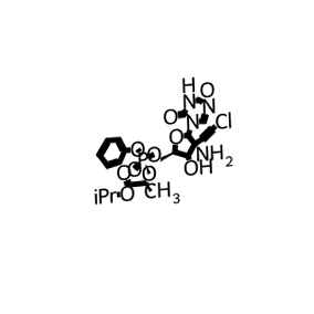 CC(C)OC(=O)[C@H](C)O[P@](=O)(OC[C@H]1OC(n2cnc(=O)[nH]c2=O)C(N)(C#CCl)C1O)Oc1ccccc1